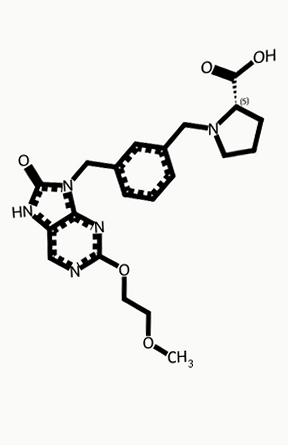 COCCOc1ncc2[nH]c(=O)n(Cc3cccc(CN4CCC[C@H]4C(=O)O)c3)c2n1